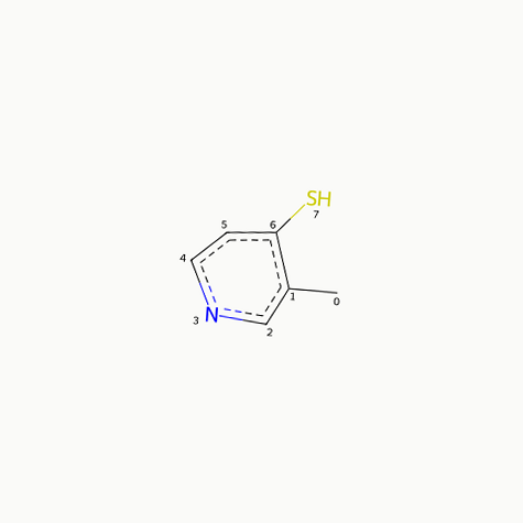 Cc1cnccc1S